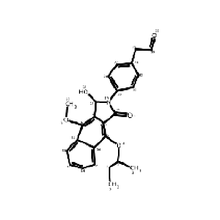 CCC(C)Oc1c2c(c(OC)c3ccccc13)C(O)N(c1ccc(CC=O)cc1)C2=O